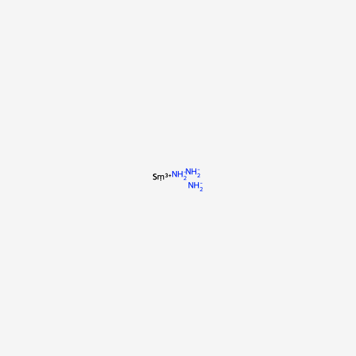 [NH2-].[NH2-].[NH2-].[Sm+3]